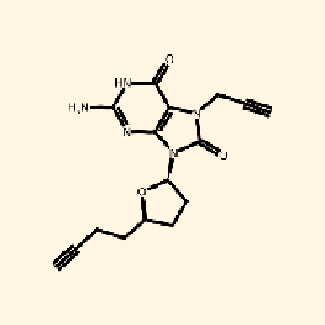 C#CCCC1CC[C@H](n2c(=O)n(CC#C)c3c(=O)[nH]c(N)nc32)O1